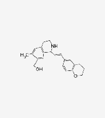 Cc1cc2c(cc1CO)C(/C=C/c1ccc3c(c1)CCCO3)NCC2